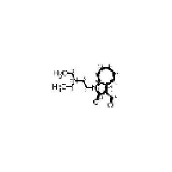 CCN(CC)CCn1c2cccccc-2c(C=O)c1=O